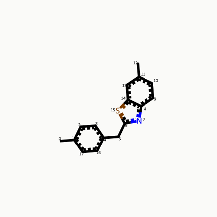 Cc1ccc(Cc2nc3ccc(C)cc3s2)cc1